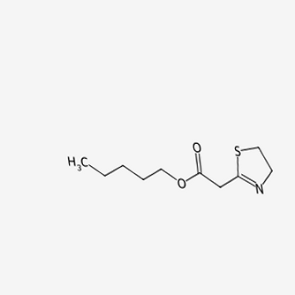 CCCCCOC(=O)CC1=NCCS1